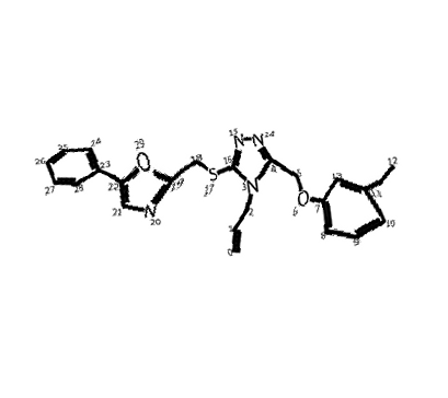 C=CCn1c(COc2cccc(C)c2)nnc1SCc1ncc(-c2ccccc2)o1